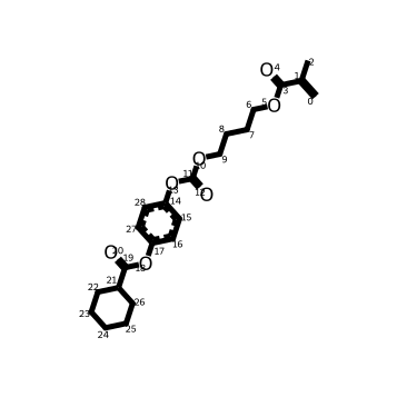 C=C(C)C(=O)OCCCCOC(=O)Oc1ccc(OC(=O)C2CCCCC2)cc1